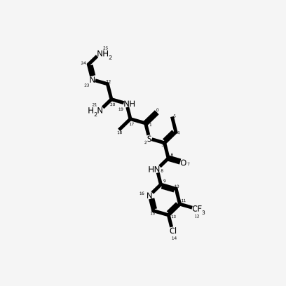 C=C(S/C(=C\C)C(=O)Nc1cc(C(F)(F)F)c(Cl)cn1)C(C)NC(N)C/N=C\N